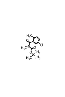 Cc1ccc(Cl)cc1C(=O)N(C)C(=O)OC(C)(C)C